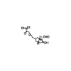 CCN(CC)C(=O)COCCC1C[C@@H]2C[C@H](O)[C@@H](C=O)[C@@H]2C1